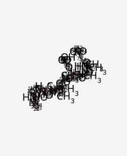 Cc1c(-c2ccc(N3CCc4cccc(C(=O)Nc5nc6ccccc6s5)c4C3)nc2C(=O)O)cnn1CC12CC3(C)CC(C)(C1)CC(OCCN(C)C(=O)OCc1ccc(NC(=O)[C@H](C)NC(=O)[C@@H](NC(=O)CCCCCN4C(=O)C=CC4=O)C(C)C)cc1CCCOCCCS(=O)(=O)O)(C3)C2